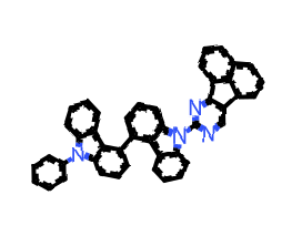 c1ccc(-n2c3ccccc3c3c(-c4cccc5c4c4ccccc4n5-c4ncc5c(n4)-c4cccc6cccc-5c46)cccc32)cc1